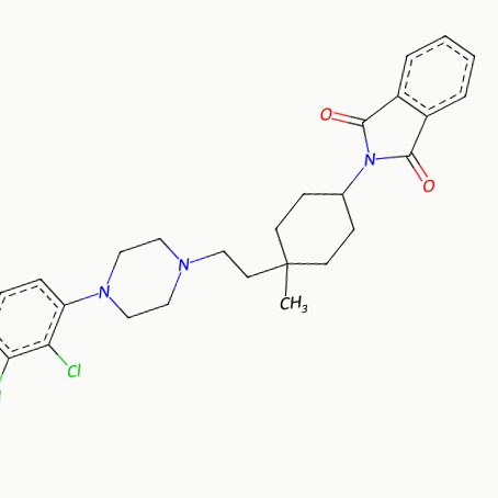 CC1(CCN2CCN(c3cccc(Cl)c3Cl)CC2)CCC(N2C(=O)c3ccccc3C2=O)CC1